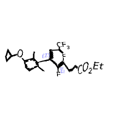 C=C(/C=C(\C(F)=C(/F)CCC(=O)OCC)c1c(C)ccc(OC2CC2)c1C)C(F)(F)F